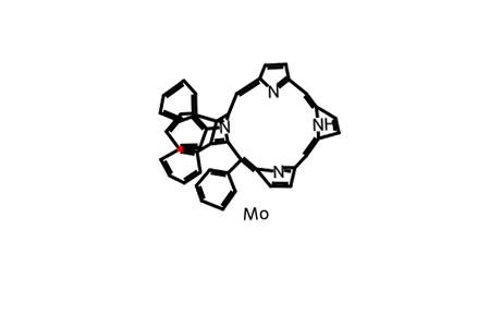 C1=Cc2cc3c(-c4ccccc4)c(-c4ccccc4)c(c(-c4ccccc4)c4nc(cc5ccc(cc1n2)[nH]5)C=C4)n3-c1ccccc1.[Mo]